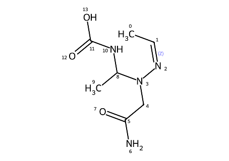 C/C=N\N(CC(N)=O)C(C)NC(=O)O